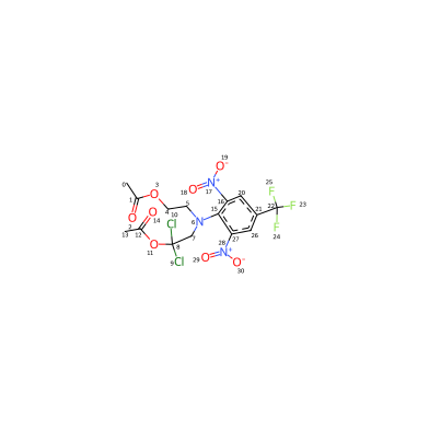 CC(=O)OCCN(CC(Cl)(Cl)OC(C)=O)c1c([N+](=O)[O-])cc(C(F)(F)F)cc1[N+](=O)[O-]